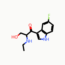 CCNC(CO)C(=O)c1c[nH]c2ccc(F)cc12